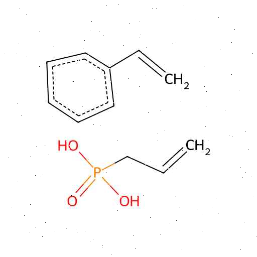 C=CCP(=O)(O)O.C=Cc1ccccc1